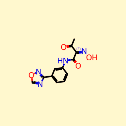 CC(=O)/C(=N/O)C(=O)Nc1cccc(-c2ncon2)c1